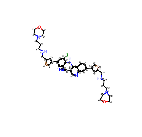 Cc1cc(-c2csc(CNCCCN3CCOCC3)c2)cc(Cl)c1Nc1c(C#N)cnc2cc(-c3csc(CNCCCN4CCOCC4)c3)ccc12